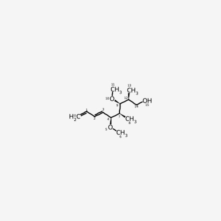 C=CC=C[C@H](OC)[C@H](C)[C@@H](OC)[C@@H](C)CO